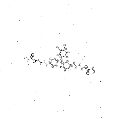 C=CC(=O)OCCCCc1ccc(N(c2cccc(CCCCOC(=O)C=C)c2)c2ccc(C)c(C)c2)cc1